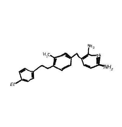 CCc1ccc(CCc2ccc(Cc3ccc(N)nc3N)cc2C)cc1